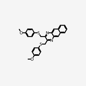 COc1ccc(SCc2nc3cc4ccccc4cc3nc2CSc2ccc(OC)cc2)cc1